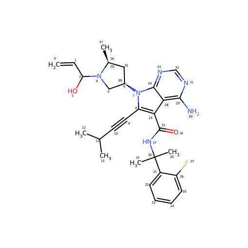 C=CC(O)N1C[C@H](n2c(C#CC(C)C)c(C(=O)NC(C)(C)c3ccccc3F)c3c(N)ncnc32)C[C@@H]1C